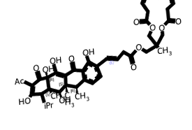 C=CCC(=O)OCC(C)(COC(=O)CC=C)COC(=O)C/C=C/c1ccc2c(c1O)C(=O)C1=C(O)[C@@]3(O)C(=O)C(C(C)=O)=C(O)C(C(C)C)[C@@]3(C)[C@H](O)[C@@]1(C)[C@@H]2C